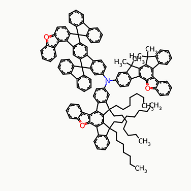 CCCCCCCC1(CCCCCCC)c2ccccc2-c2c1c1c(c3c2oc2ccccc23)-c2ccc(N(c3ccc4c(c3)C(C)(C)c3c5c(c6c(oc7ccccc76)c3-4)-c3ccccc3C5(C)C)c3ccc4c(c3)C3(c5ccccc5-c5ccccc53)c3cc5c(cc3-4)C3(c4ccccc4-c4ccccc43)c3ccc4oc6ccccc6c4c3-5)cc2C1(CCCCCCC)CCCCCCC